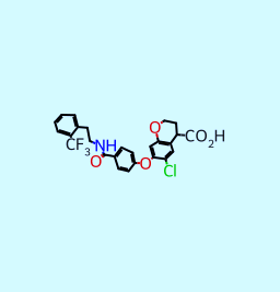 O=C(NCCc1ccccc1C(F)(F)F)c1ccc(Oc2cc3c(cc2Cl)C(C(=O)O)CCO3)cc1